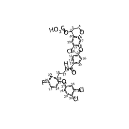 O=C(O)OC1CCOc2cc(Oc3ccc(C(=O)NCCc4cc(F)ccc4Oc4ccc(Cl)c(Cl)c4)cc3)c(Cl)cc21